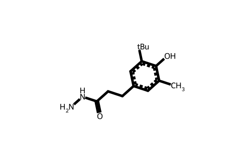 Cc1cc(CCC(=O)NN)cc(C(C)(C)C)c1O